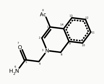 CC(=O)C1=CN(CC(N)=O)Cc2ccccc21